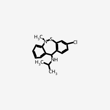 CC(C)NC1c2ccc(Cl)cc2SN(C)c2ccccc21